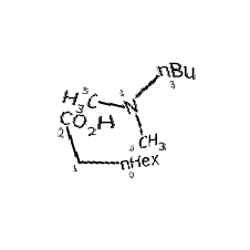 CCCCCCCC(=O)O.CCCCN(C)C